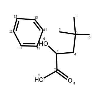 CC(C)(C)CC(O)C(=O)O.c1ccccc1